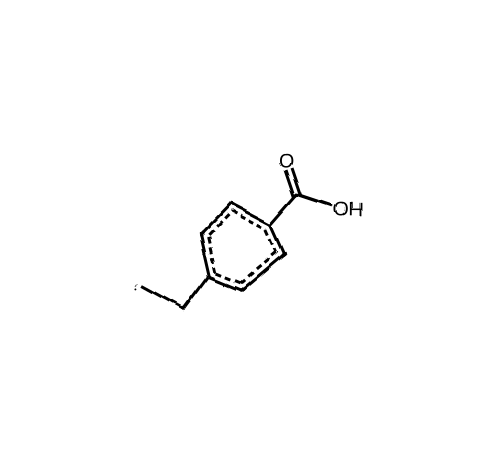 [CH]Cc1ccc(C(=O)O)cc1